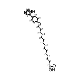 O=C(O)CCCCCCCCCCCCCCCOc1ccc(-c2nnn[nH]2)cc1